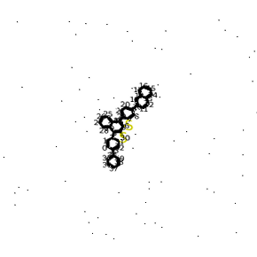 C1=CC2c3c(c4sc5cc(-c6ccc7ccccc7c6)ccc5c4c4ccccc34)SC2C=C1c1ccccc1